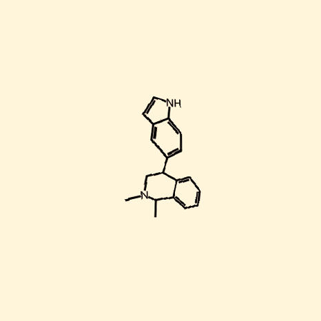 CC1c2ccccc2C(c2ccc3[nH]ccc3c2)CN1C